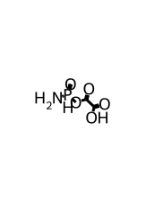 N[PH](=O)OC(=O)C(=O)O